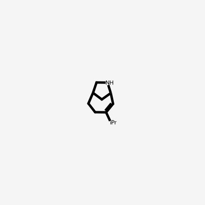 CC(C)C1=CC2CC(CC1)CN2